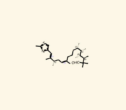 C/C(=C/C[C@H](C)/C(C)=C/c1csc(C)n1)CCC[C@H](C)[C@H](C)[C@@H](C)[C@@H](C)C(C)(C)C=O